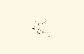 COc1cc(C2(OCC(=O)N3CC4CCC(C3)N4c3ccc(C#N)cn3)CCCC2)ccn1